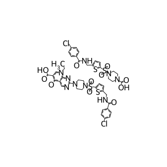 CCn1cc(C(=O)O)c(=O)c2cnc(N3CCN(S(=O)(=O)c4ccc(CNC(=O)c5ccc(Cl)cc5)s4)CC3)nc21.O=C(NCc1ccc(S(=O)(=O)N2CCN(C(=O)O)CC2)s1)c1ccc(Cl)cc1